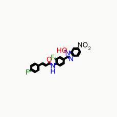 O=C(/C=C/c1ccc(F)cc1)Nc1ccc(-c2nc3ccc([N+](=O)[O-])cc3n2O)cc1F